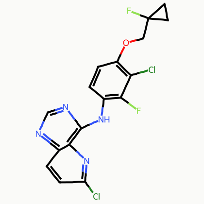 Fc1c(Nc2ncnc3ccc(Cl)nc23)ccc(OCC2(F)CC2)c1Cl